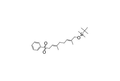 C/C(=C\CS(=O)(=O)c1ccccc1)CC/C=C(\C)CO[Si](C)(C)C(C)(C)C